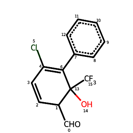 O=CC1C=CC(Cl)=C(c2ccccc2)C1(O)C(F)(F)F